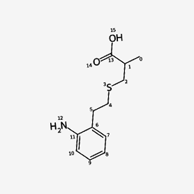 CC(CSCCc1ccccc1N)C(=O)O